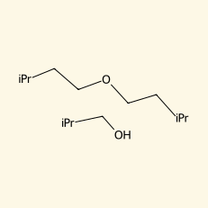 CC(C)CCOCCC(C)C.CC(C)CO